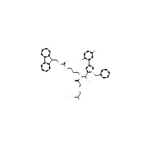 CC(C)(C)C(c1cc(-c2cc(F)ccc2F)cn1Cc1ccccc1)N(CCCNC(=O)OCC1c2ccccc2-c2ccccc21)C(=O)CSCC(N)C(=O)O